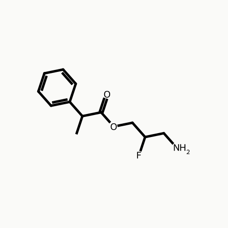 CC(C(=O)OCC(F)CN)c1ccccc1